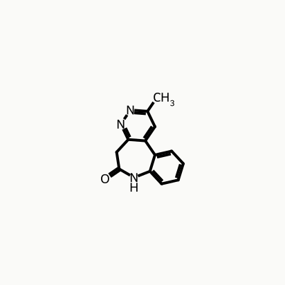 Cc1cc2c(nn1)CC(=O)Nc1ccccc1-2